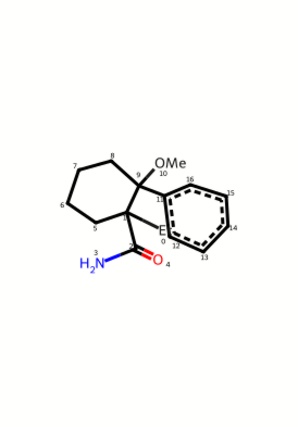 CCC1(C(N)=O)CCCCC1(OC)c1ccccc1